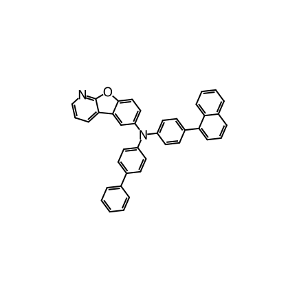 c1ccc(-c2ccc(N(c3ccc(-c4cccc5ccccc45)cc3)c3ccc4oc5ncccc5c4c3)cc2)cc1